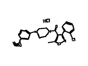 COc1cccc(N2CCN(C(=O)c3c(-c4ccccc4Cl)noc3C)CC2)c1.Cl